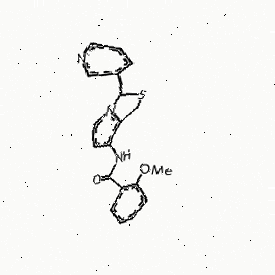 COc1ccccc1C(=O)Nc1ccn2c1CSC2c1cccnc1